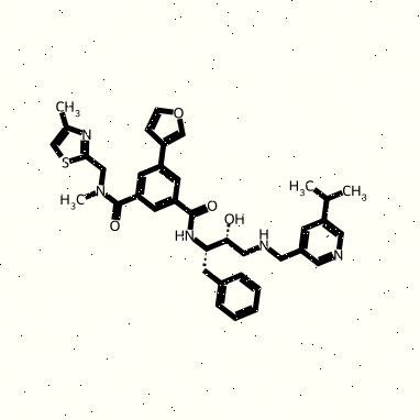 Cc1csc(CN(C)C(=O)c2cc(C(=O)N[C@@H](Cc3ccccc3)[C@H](O)CNCc3cncc(C(C)C)c3)cc(-c3ccoc3)c2)n1